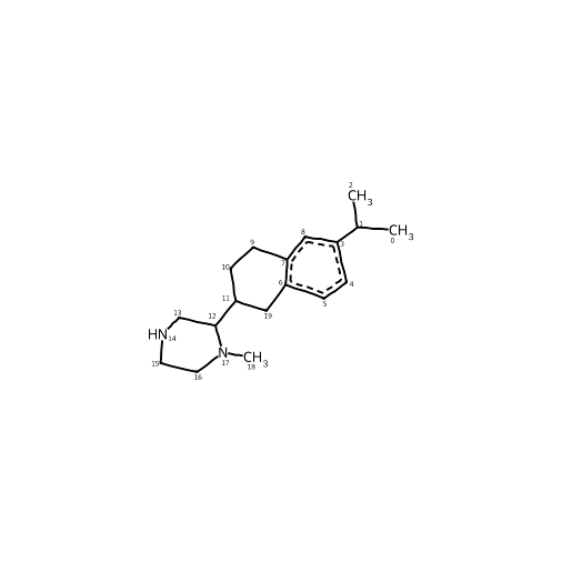 CC(C)c1ccc2c(c1)CCC(C1CNCCN1C)C2